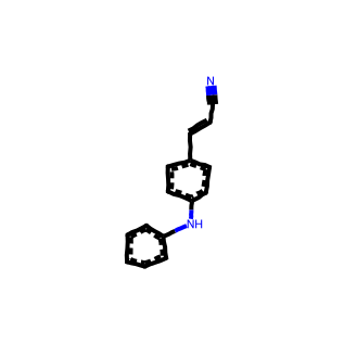 N#CC=Cc1ccc(Nc2ccccc2)cc1